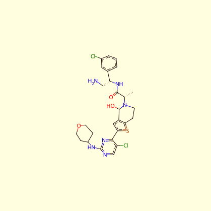 C[C@@H](C(=O)N[C@H](CN)c1cccc(Cl)c1)N1CCc2sc(-c3nc(NC4CCOCC4)ncc3Cl)cc2C1O